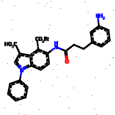 CCOC(=O)c1c(NC(=O)CCc2cccc(N)c2)ccc2c1c(C(=O)O)cn2-c1ccccc1